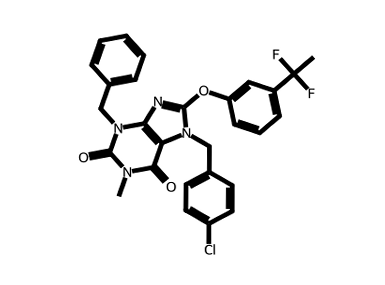 Cn1c(=O)c2c(nc(Oc3cccc(C(C)(F)F)c3)n2Cc2ccc(Cl)cc2)n(Cc2ccccc2)c1=O